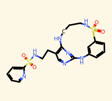 O=S1(=O)NCCCNc2nc(ncc2CCNS(=O)(=O)c2ccccn2)Nc2cccc1c2